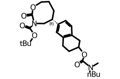 CCCCN(C)C(=O)OC1CCc2cc([C@H]3CCCOC(=O)N(C(=O)OC(C)(C)C)C3)ccc2C1